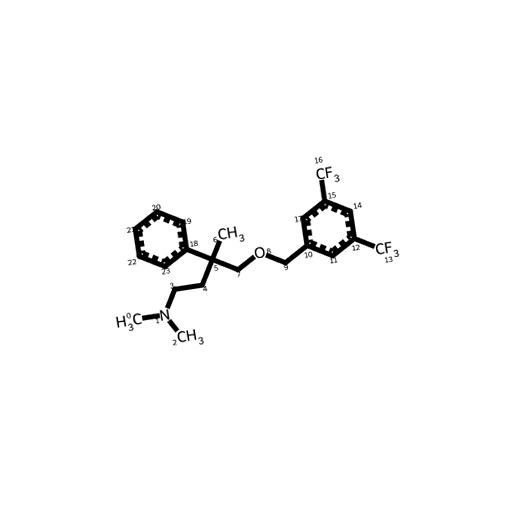 CN(C)CCC(C)(COCc1cc(C(F)(F)F)cc(C(F)(F)F)c1)c1ccccc1